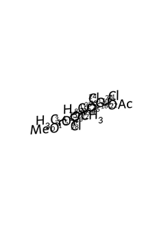 COC[C@H](C)COc1ccc(C(C)(C)c2ccc(OC[C@H](CCl)OC(C)=O)c(Cl)c2)cc1Cl